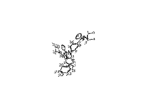 CCN(CC)C(=O)c1ccc(N2C[C@]3(CC[C@@](CC)(c4ccccc4)CC3)N(CC3CCC3)C2=O)cc1